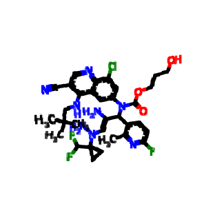 Cc1nc(F)ccc1C(/C(N)=C/N(N)C1(C(F)F)CC1)N(C(=O)OCCCO)c1cc(Cl)c2ncc(C#N)c(NCC(C)(C)C)c2c1